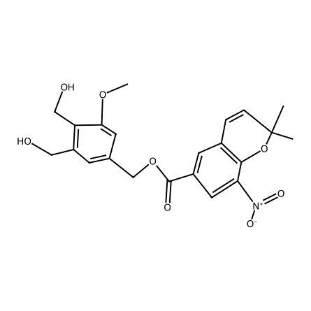 COc1cc(COC(=O)c2cc3c(c([N+](=O)[O-])c2)OC(C)(C)C=C3)cc(CO)c1CO